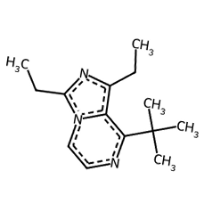 CCc1nc(CC)n2ccnc(C(C)(C)C)c12